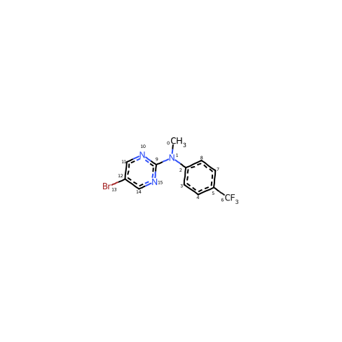 CN(c1ccc(C(F)(F)F)cc1)c1ncc(Br)cn1